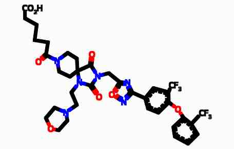 O=C(O)CCCCC(=O)N1CCC2(CC1)C(=O)N(Cc1nc(-c3ccc(Oc4ccccc4C(F)(F)F)c(C(F)(F)F)c3)no1)C(=O)N2CCN1CCOCC1